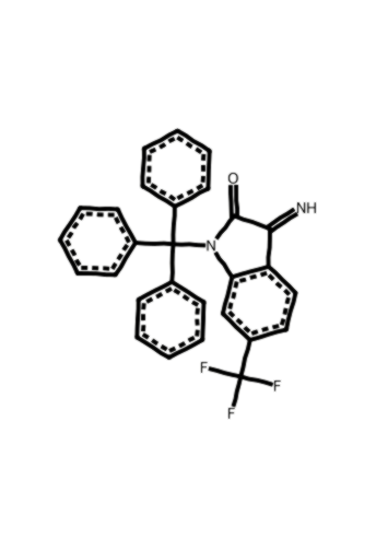 N=C1C(=O)N(C(c2ccccc2)(c2ccccc2)c2ccccc2)c2cc(C(F)(F)F)ccc21